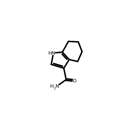 NC(=O)c1c[nH]c2c1CCCC2